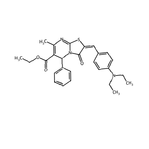 CCOC(=O)C1=C(C)N=c2s/c(=C/c3ccc(N(CC)CC)cc3)c(=O)n2C1c1ccccc1